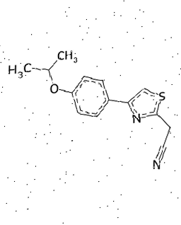 CC(C)Oc1ccc(-c2csc(CC#N)n2)cc1